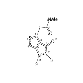 CNC(=O)Cc1scc2c1c(=O)n(C)n2C